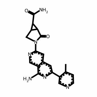 Cc1ccncc1-c1cc2cc(N3CC4C(C(N)=O)C4C3=O)ncc2c(N)n1